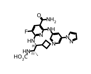 C[C@H](NC(=O)O)[C@H](Nc1nc(Nc2cncc(-n3cccn3)c2)c(C(N)=O)cc1F)C1CCC1